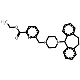 CCOC(=O)c1cccc(CN2CCN(C3c4ccccc4CCc4ccccc43)CC2)n1